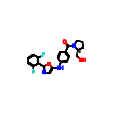 O=C(c1ccc(Nc2cnc(-c3c(F)cccc3F)o2)cc1)N1CCC[C@@H]1CO